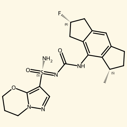 C[C@H]1CCc2cc3c(c(NC(=O)N=[S@](N)(=O)c4cnn5c4OCCC5)c21)C[C@H](F)C3